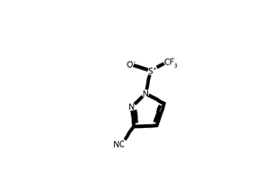 N#Cc1ccn([S+]([O-])C(F)(F)F)n1